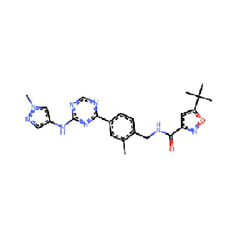 Cc1cc(-c2ncnc(Nc3cnn(C)c3)n2)ccc1CNC(=O)c1cc(C(C)(C)C)on1